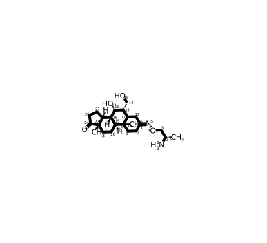 C[C@H](N)CON=C1CC[C@@]2(C)C(C1)[C@@H](CO)[C@@H](O)[C@@H]1[C@@H]2CC[C@]2(C)C(=O)CC[C@@H]12